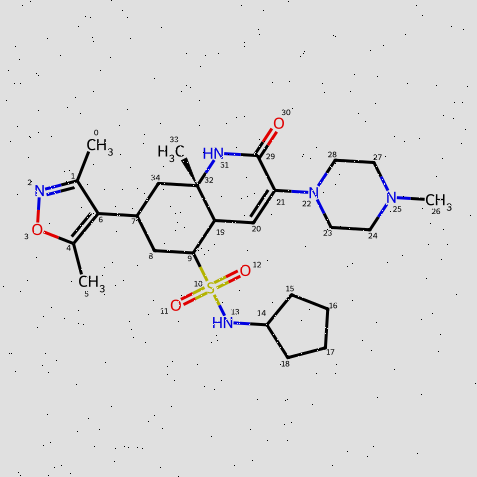 Cc1noc(C)c1C1CC(S(=O)(=O)NC2CCCC2)C2C=C(N3CCN(C)CC3)C(=O)N[C@@]2(C)C1